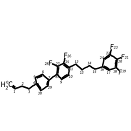 C=CCCc1ccc(-c2ccc(CCCCc3cc(F)c(F)c(F)c3)c(F)c2F)cc1